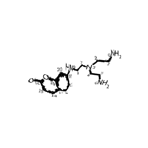 NCCN(CCN)CCNc1ccc2ccc(=O)oc2c1